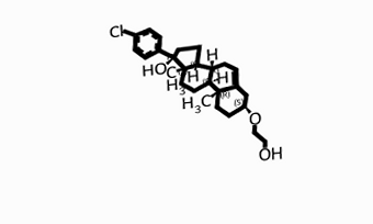 C[C@]12CC[C@H](OCCO)CC1=CC[C@@H]1[C@@H]2CC[C@@]2(C)[C@H]1CC[C@@]2(O)c1ccc(Cl)cc1